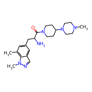 Cc1cc(CC(N)C(=O)N2CCC(N3CCN(C)CC3)CC2)cc2cnn(C)c12